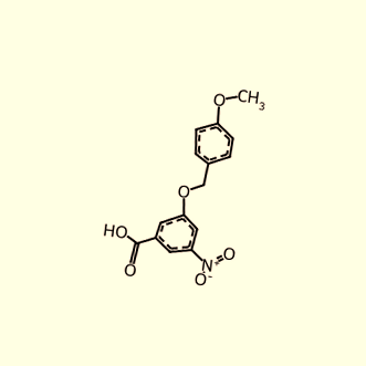 COc1ccc(COc2cc(C(=O)O)cc([N+](=O)[O-])c2)cc1